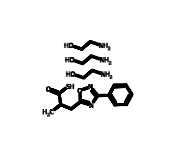 CC(Cc1nc(-c2ccccc2)no1)C(=O)S.NCCO.NCCO.NCCO